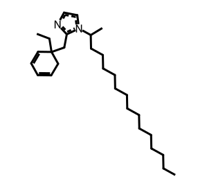 CCCCCCCCCCCCCCC(C)n1ccnc1CC1(CC)C=CC=CC1